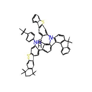 CC(C)(C)c1ccc(Nc2cc3sc4cc5c(cc4c3cc2-c2ccc3c4c6c(ccc4n4c3c2Bc2cc3c(cc2-4)sc2ccccc23)C(C)(C)c2ccccc2-6)C(C)(C)CCC5(C)C)cc1